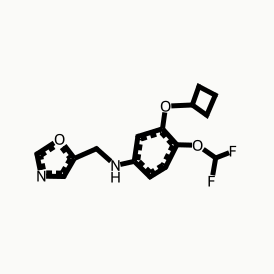 FC(F)Oc1ccc(NCc2cnco2)cc1OC1CCC1